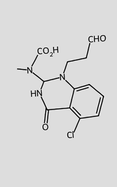 CN(C(=O)O)C1NC(=O)c2c(Cl)cccc2N1CCC=O